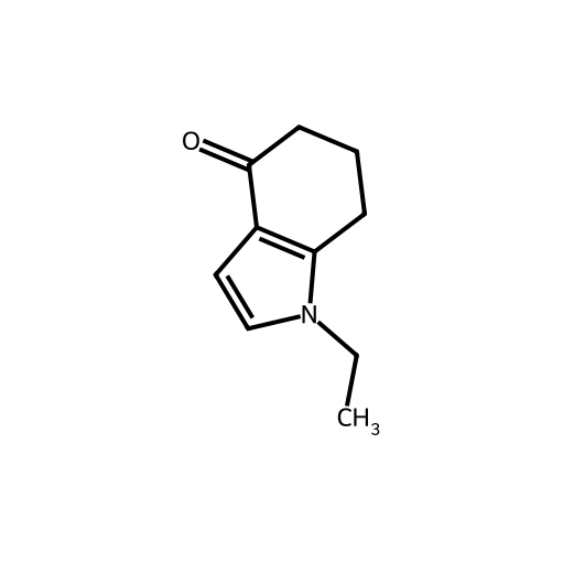 CCn1ccc2c1CCCC2=O